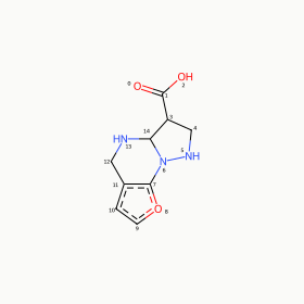 O=C(O)C1CNN2c3occc3CNC12